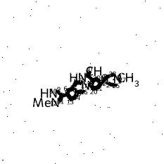 C=C(Nc1cc2cc(/C(C=N)=C/NC)ccc2cn1)c1cccc(N2CCN(C)CC2)c1